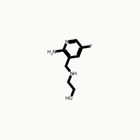 Nc1ncc(F)cc1CNCCO